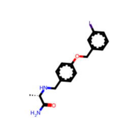 C[C@H](NCc1ccc(OCc2cccc(I)c2)cc1)C(N)=O